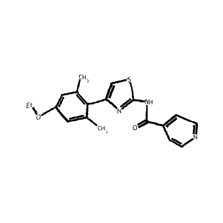 CCOc1cc(C)c(-c2csc(NC(=O)c3ccncc3)n2)c(C)c1